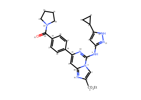 CCOC(=O)c1cn2c(Nc3cc(C4CC4)[nH]n3)nc(-c3ccc(C(=O)N4CCCC4)cc3)cc2n1